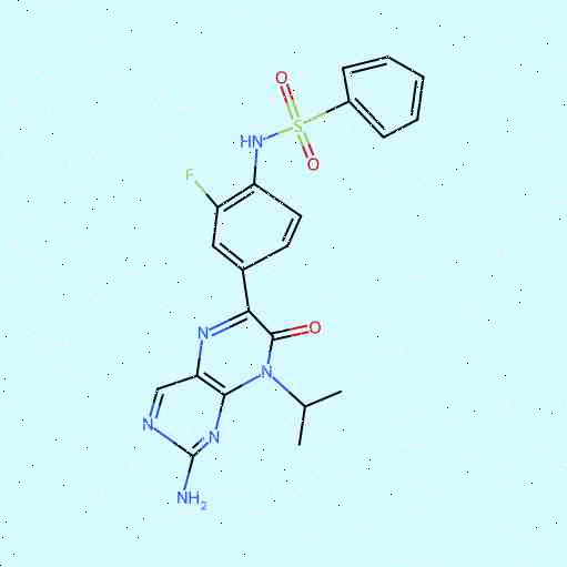 CC(C)n1c(=O)c(-c2ccc(NS(=O)(=O)c3ccccc3)c(F)c2)nc2cnc(N)nc21